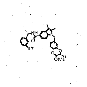 CCC(Oc1cccc(Cn2c(C)c(C)c3cc(C(=O)N[C@@H](C)c4cccc(C(C)C)c4)ccc32)c1)C(=O)OC